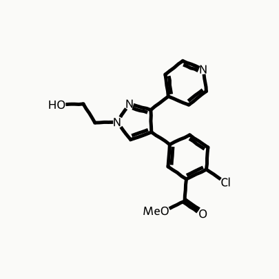 COC(=O)c1cc(-c2cn(CCO)nc2-c2ccncc2)ccc1Cl